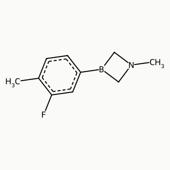 Cc1ccc(B2CN(C)C2)cc1F